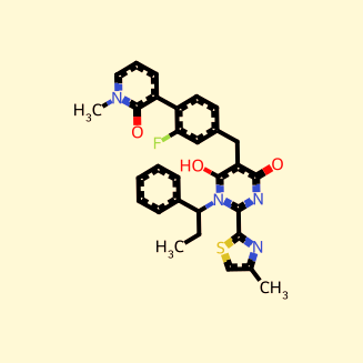 CCC(c1ccccc1)n1c(-c2nc(C)cs2)nc(=O)c(Cc2ccc(-c3cccn(C)c3=O)c(F)c2)c1O